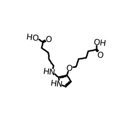 O=C(O)CCCCNc1[nH]ccc1OCCCCC(=O)O